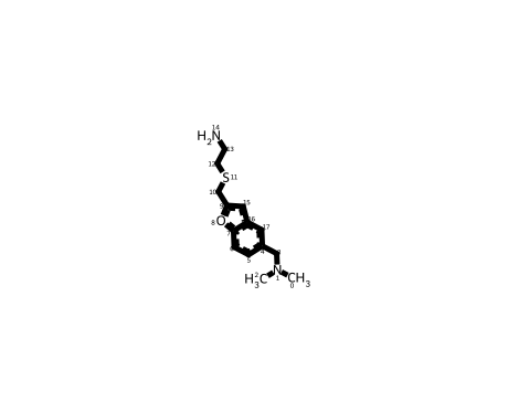 CN(C)Cc1ccc2oc(CSCCN)cc2c1